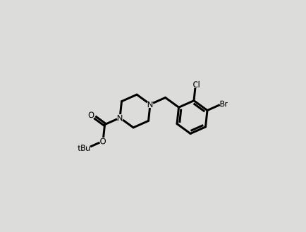 CC(C)(C)OC(=O)N1CCN(Cc2cccc(Br)c2Cl)CC1